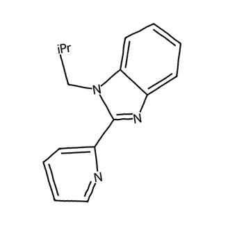 CC(C)Cn1c(-c2ccccn2)nc2ccccc21